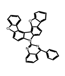 c1ccc(-c2nc(-n3c4ccc5c6ccccc6oc5c4c4c5c(ccc43)oc3ccccc35)nc3ccccc23)cc1